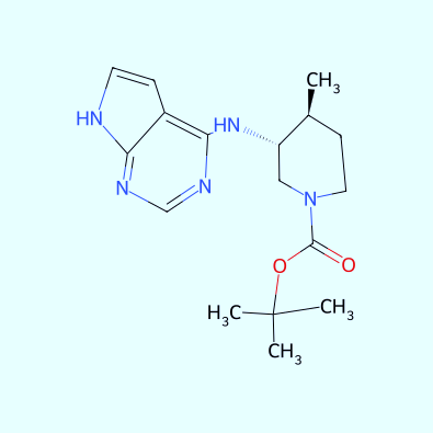 C[C@H]1CCN(C(=O)OC(C)(C)C)C[C@@H]1Nc1ncnc2[nH]ccc12